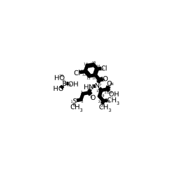 CSCCC(=O)NN(C(=O)c1cc(Cl)ccc1Cl)C(CC(C)C)C(=O)O.OB(O)O